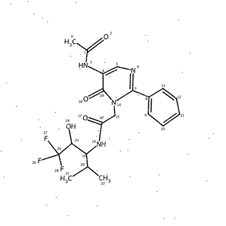 CC(=O)Nc1cnc(-c2ccccc2)n(CC(=O)NC(C(C)C)C(O)C(F)(F)F)c1=O